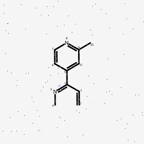 C=C/C(=N\C)c1ccnc(C)c1